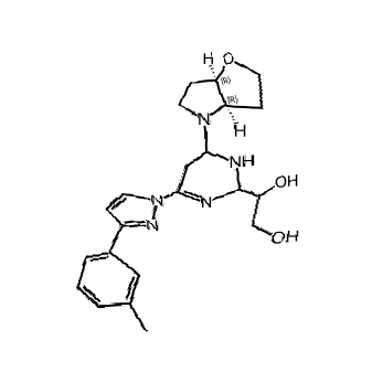 Cc1cccc(-c2ccn(C3=NC(C(O)CO)NC(N4CC[C@H]5OCC[C@H]54)C3)n2)c1